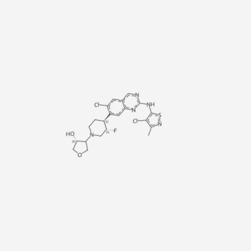 Cc1nsc(Nc2ncc3cc(Cl)c([C@@H]4CCN(C5COC[C@@H]5O)C[C@H]4F)cc3n2)c1Cl